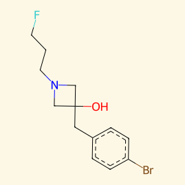 OC1(Cc2ccc(Br)cc2)CN(CCCF)C1